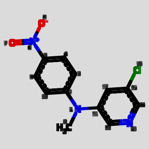 CN(c1ccc([N+](=O)[O-])cc1)c1cncc(Cl)c1